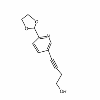 OCCC#Cc1ccc(C2OCCO2)nc1